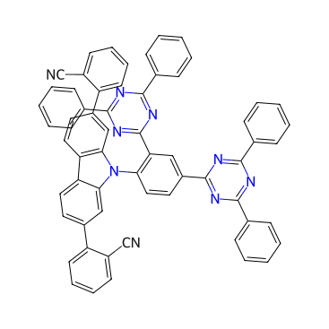 N#Cc1ccccc1-c1ccc2c3ccc(-c4ccccc4C#N)cc3n(-c3ccc(-c4nc(-c5ccccc5)nc(-c5ccccc5)n4)cc3-c3nc(-c4ccccc4)nc(-c4ccccc4)n3)c2c1